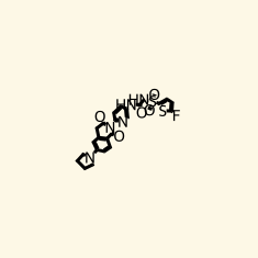 O=C(Nc1ccc(N2C(=O)Cc3cc(N4CCCC4)ccc3C2=O)nc1)NS(=O)(=O)c1ccc(F)s1